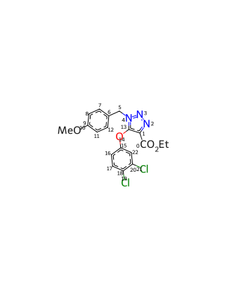 CCOC(=O)c1nnn(Cc2ccc(OC)cc2)c1Oc1ccc(Cl)c(Cl)c1